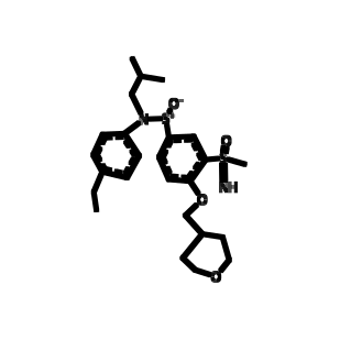 CCc1ccc(N(CC(C)C)[S+]([O-])c2ccc(OCC3CCOCC3)c(S(C)(=N)=O)c2)cc1